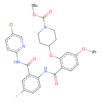 CC(C)Oc1ccc(C(=O)Nc2ccc(F)cc2C(=O)Nc2ccc(Cl)cn2)c(OC2CCN(C(=O)OC(C)(C)C)CC2)c1